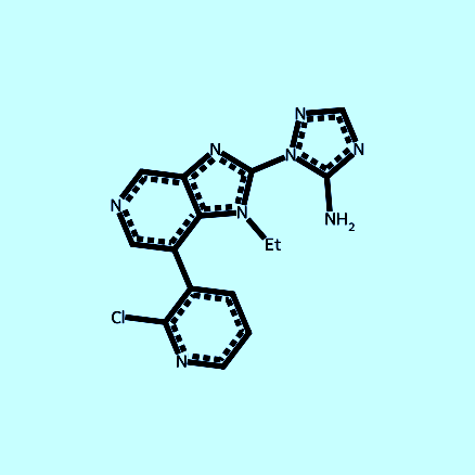 CCn1c(-n2ncnc2N)nc2cncc(-c3cccnc3Cl)c21